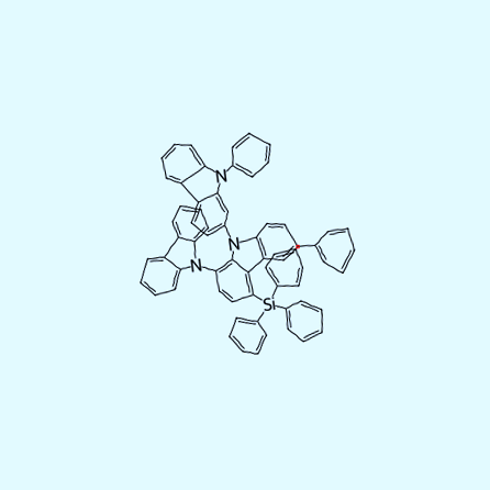 c1ccc(-c2ccc3c(c2)c2c([Si](c4ccccc4)(c4ccccc4)c4ccccc4)ccc(-n4c5ccccc5c5ccccc54)c2n3-c2ccc3c4ccccc4n(-c4ccccc4)c3c2)cc1